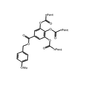 CCCCCC(=O)Oc1cc(C(=O)OCc2ccc(OC)cc2)cc(OC(=O)CCCCC)c1OC(=O)CCCCC